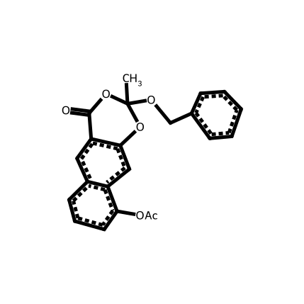 CC(=O)Oc1cccc2cc3c(cc12)OC(C)(OCc1ccccc1)OC3=O